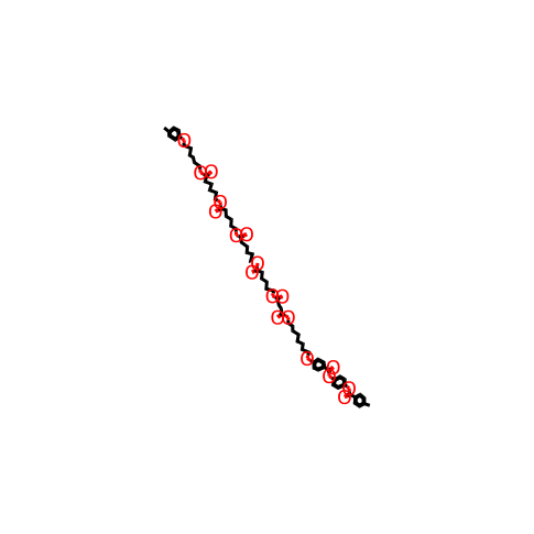 Cc1ccc(OCCCCCCOC(=O)CCCCCOC(=O)CCCCCOC(=O)CCCCCOC(=O)CCCCCOC(=O)CCC(=O)OCCCCCCCCOc2ccc(C(=O)Oc3ccc(OC(=O)c4ccc(C)cc4)cc3)cc2)cc1